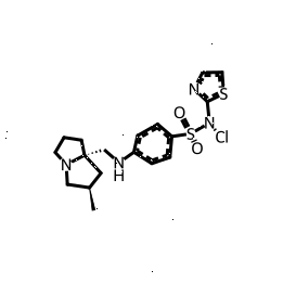 C[C@H]1CN2CCC[C@@]2(CNc2ccc(S(=O)(=O)N(Cl)c3nccs3)cc2)C1